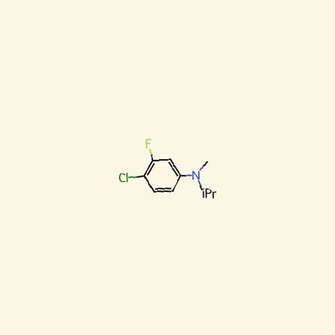 CC(C)N(C)c1ccc(Cl)c(F)c1